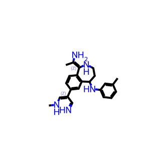 CN/C=C(\C=N)c1ccc2c(c1)C(Nc1cccc(C)c1)CCN/C2=C(/C)N